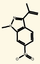 C=C(C)c1nn(C)c2cc([N+](=O)[O-])ccc12